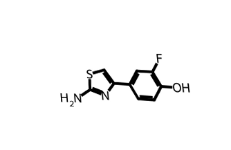 Nc1nc(-c2ccc(O)c(F)c2)cs1